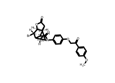 COc1ccc(C(=O)COc2ccc(NC(=O)[C@@H]3C4C(=O)O[C@H]5[C@@H]4[C@@H]4C[C@@H]4C3[C@@H]5Br)cc2)cc1